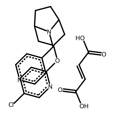 Clc1ccc(OC2CC3CCC(C2)N3Cc2ccncc2)nc1.O=C(O)C=CC(=O)O